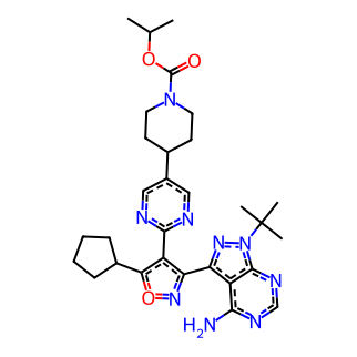 CC(C)OC(=O)N1CCC(c2cnc(-c3c(-c4nn(C(C)(C)C)c5ncnc(N)c45)noc3C3CCCC3)nc2)CC1